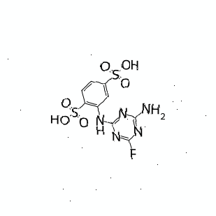 Nc1nc(F)nc(Nc2cc(S(=O)(=O)O)ccc2S(=O)(=O)O)n1